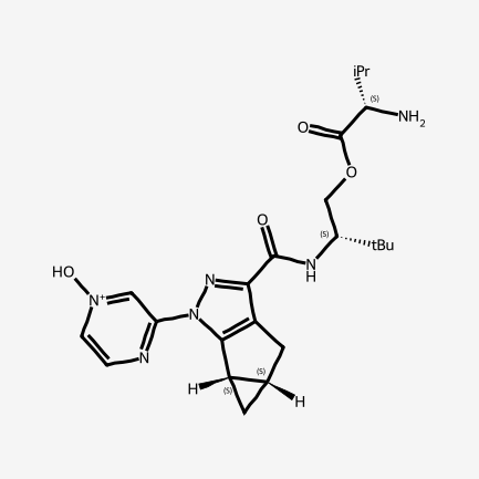 CC(C)[C@H](N)C(=O)OC[C@@H](NC(=O)c1nn(-c2c[n+](O)ccn2)c2c1C[C@@H]1C[C@H]21)C(C)(C)C